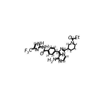 CCC(=O)N1CCCC(c2nc(-c3ccc(C(=O)Nc4nc(C(F)(F)F)c[nH]4)cc3)c3c(N)nccn23)C1